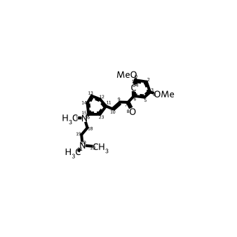 COc1cc(OC)cc(C(=O)C=Cc2cccc(N(C)CCN(C)C)c2)c1